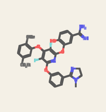 CCOC(=O)c1ccc(OC)c(Oc2c(F)c(Oc3cccc(C4=NCCN4C)c3)nc(Oc3cc(C(=N)N)ccc3O)c2F)c1